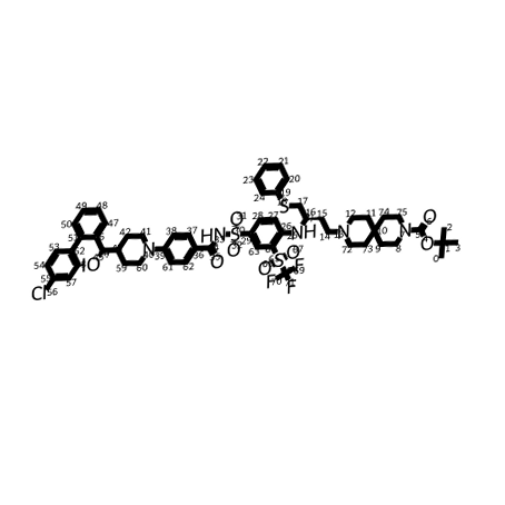 CC(C)(C)OC(=O)N1CCC2(CCN(CC[C@H](CSc3ccccc3)Nc3ccc(S(=O)(=O)NC(=O)c4ccc(N5CCC([C@@H](O)c6ccccc6-c6ccc(Cl)cc6)CC5)cc4)cc3S(=O)(=O)C(F)(F)F)CC2)CC1